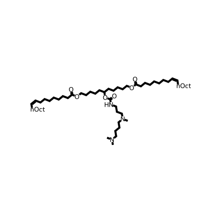 CCCCCCCC/C=C\CCCCCCCC(=O)OCCCCCC(CCCCCOC(=O)CCCCCCC/C=C\CCCCCCCC)OC(=O)NCCCN(C)CCCCN(C)C